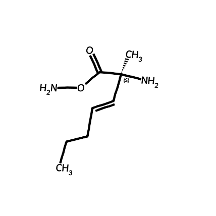 CCCC=C[C@](C)(N)C(=O)ON